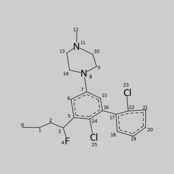 CCCC(F)c1cc(N2CCN(C)CC2)cc(-c2ccccc2Cl)c1Cl